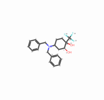 O[C@H]1CC(N(Cc2ccccc2)Cc2ccccc2)CCC1(O)C(F)(F)F